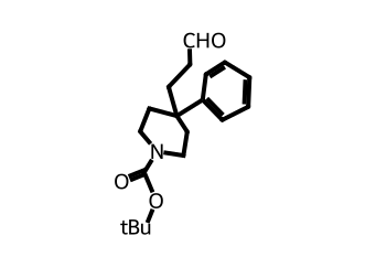 CC(C)(C)OC(=O)N1CCC(CCC=O)(c2ccccc2)CC1